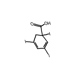 O=C(O)C1(I)C=C(I)C=C(I)C1